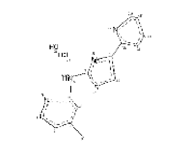 Cc1ccnc(Nc2nc(-c3cnccn3)cs2)c1.Cl.Cl